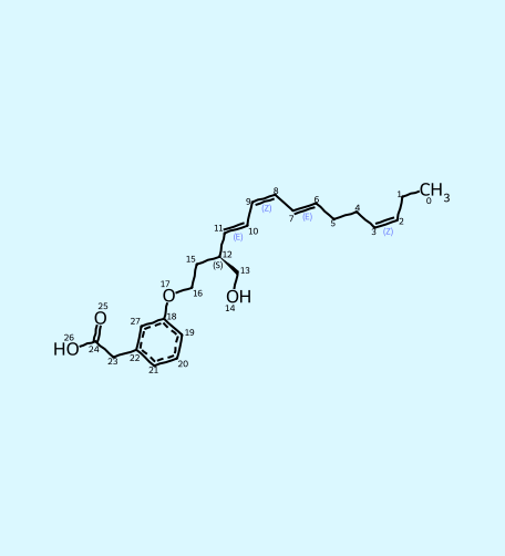 CC/C=C\CC/C=C/C=C\C=C\[C@@H](CO)CCOc1cccc(CC(=O)O)c1